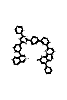 Cc1cc(-c2ccccc2)c2ccc3ccc(-c4cccc(-c5ccc(-c6nc(-c7ccccc7)cc(-c7cccc(-c8cncc9ccccc89)c7)n6)cc5)c4)nc3c2n1